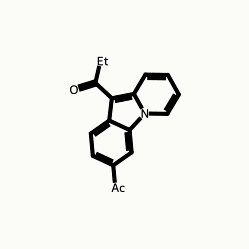 CCC(=O)c1c2ccc(C(C)=O)cc2n2ccccc12